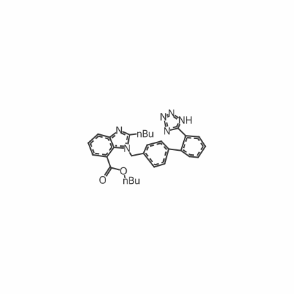 CCCCOC(=O)c1cccc2nc(CCCC)n(Cc3ccc(-c4ccccc4-c4nnn[nH]4)cc3)c12